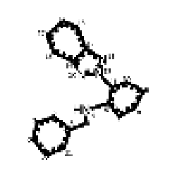 c1ccc(CNc2ccccc2-n2nc3ccccc3n2)cc1